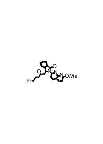 COc1ccc2ccc(N3C(=O)c4ccccc4C3CC(=O)CCCC(C)C)nc2n1